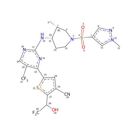 C[C@@H]1CN(S(=O)(=O)c2cnn(C)c2)CC[C@@H]1Nc1ncc(C(F)(F)F)c(-c2cc(C#N)c(C(O)C(F)(F)F)s2)n1